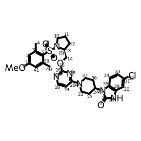 COc1cc(C)c(S(=O)(=O)N2CCC[C@H]2COc2nccc(N3CCC(n4c(=O)[nH]c5cc(Cl)ccc54)CC3)n2)c(C)c1